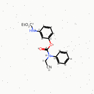 CCOC(=O)Nc1cccc(OC(=O)N(CC#N)c2ccccc2)c1